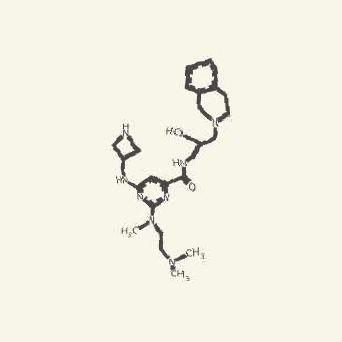 CN(C)CCN(C)c1nc(NC2CNC2)cc(C(=O)NCC(O)CN2CCc3ccccc3C2)n1